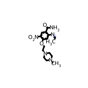 C/C=N\c1cc(OCCN2CCN(C)CC2)c([N+](=O)[O-])cc1C(N)=O